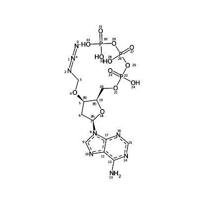 [N-]=[N+]=NCO[C@@H]1C[C@H](n2cnc3c(N)ncnc32)O[C@@H]1COP(=O)(O)OP(=O)(O)OP(=O)(O)O